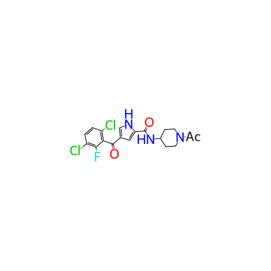 CC(=O)N1CCC(NC(=O)c2cc(C(=O)c3c(Cl)ccc(Cl)c3F)c[nH]2)CC1